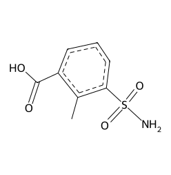 Cc1c(C(=O)O)cccc1S(N)(=O)=O